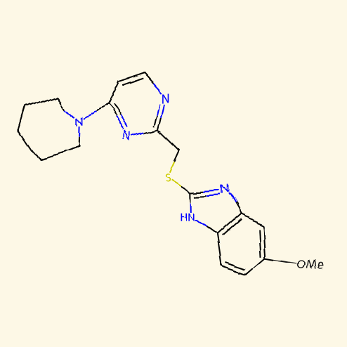 COc1ccc2[nH]c(SCc3nccc(N4CCCCC4)n3)nc2c1